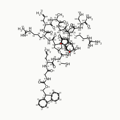 C=CC[C@H](NC(=O)CNC(=O)OCC1c2ccccc2-c2ccccc21)C(=O)N[C@@H](CS)C(=O)N[C@@H](CO)C(=O)N[C@@H](CC(=O)O)C(=O)N1CCCC1C(=O)N[C@@H](CCCNC(=N)N)C(=O)N[C@@H](CC=C)C(=O)N[C@@H](C)C(=O)N[C@@H](Cc1cc2ccccc2[nH]1)C(=O)N[C@@H](CCCNC(=N)N)C(=O)N[C@@H](CS)C(N)=O